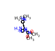 C=CC(=O)N1C[C@@H](n2nc(C#Cc3ccc4c(c3)nc(C)n4C)c3c(N)nccc32)C[C@@H]1COC